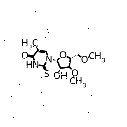 COC[C@H]1O[C@@H](n2cc(C)c(=O)[nH]c2=S)[C@@H](O)C1OC